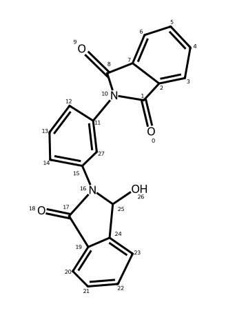 O=C1c2ccccc2C(=O)N1c1cccc(N2C(=O)c3ccccc3C2O)c1